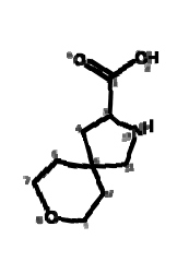 O=C(O)C1CC2(CCOCC2)CN1